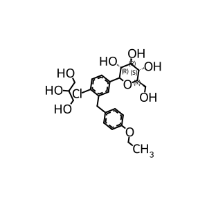 CCOc1ccc(Cc2cc(C3O[C@H](CO)[C@@H](O)[C@H](O)[C@H]3O)ccc2Cl)cc1.OCC(O)CO